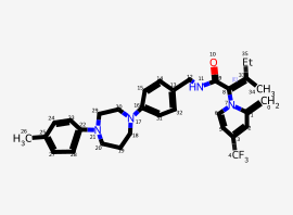 C=C1C=C(C(F)(F)F)C=CN1/C(C(=O)NCc1ccc(N2CCCN(c3ccc(C)cc3)CC2)cc1)=C(\C)CC